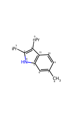 CCCc1c(C(C)C)[nH]c2cc(C)ccc12